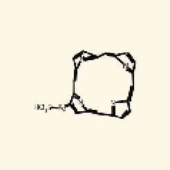 O=[S](=O)(O)[Fe][C]1=CC2=CC3=NC(=CC4=NC(=CC5=NC(=CC1=N2)C=C5)C=C4)C=C3